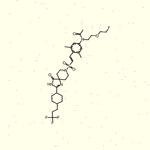 CC(=O)N(CCOCCF)c1cc(C)c(/C=C/S(=O)(=O)N2CCC3(CC2)N=C(C2CCC(CCC(F)(F)F)CC2)NC3=O)c(C)c1